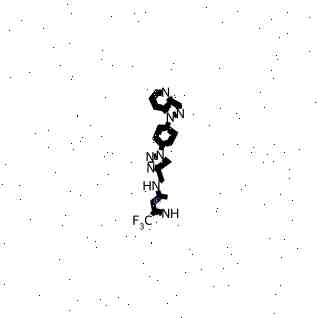 C/C(=C\C(=N)C(F)(F)F)NCc1cn(-c2ccc(-n3ncc4ncccc43)cc2)nn1